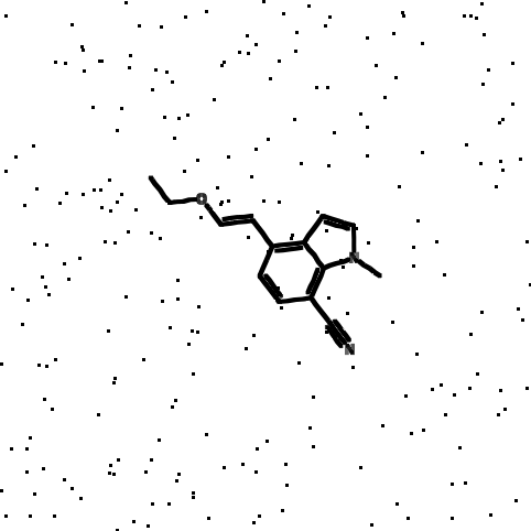 CCO/C=C/c1ccc(C#N)c2c1ccn2C